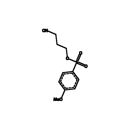 COc1ccc(S(=O)(=O)OCCCN=O)cc1